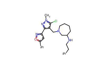 CC(C)CCNC1CCCCN(Cc2c(-c3cc(C(C)C)on3)nn(C)c2Cl)C1